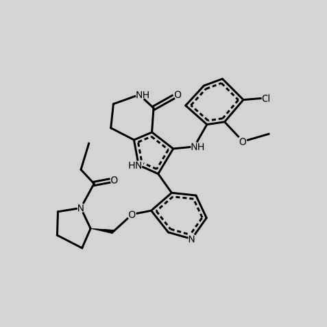 CCC(=O)N1CCC[C@@H]1COc1cnccc1-c1[nH]c2c(c1Nc1cccc(Cl)c1OC)C(=O)NCC2